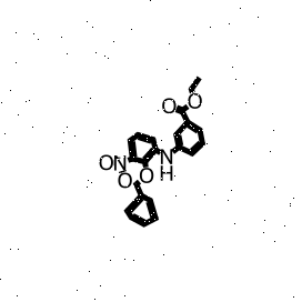 CCOC(=O)c1cccc(Nc2cccc([N+](=O)[O-])c2OCc2ccccc2)c1